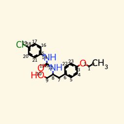 CCOc1ccc(CC(CO)NC(=O)Nc2ccc(Cl)cc2)cc1